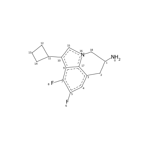 NC1Cc2cc(F)c(F)c3c(C4CCC4)cn(c23)C1